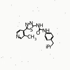 Cc1cnccc1-c1nnc(NC(=O)Nc2ccc(CC(C)C)cc2)s1